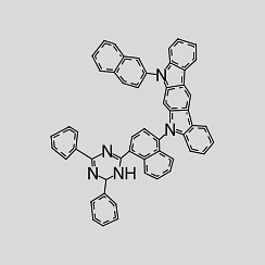 c1ccc(C2=NC(c3ccccc3)NC(c3ccc(-n4c5ccccc5c5cc6c7ccccc7n(-c7ccc8ccccc8c7)c6cc54)c4ccccc34)=N2)cc1